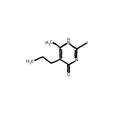 CCCc1c(C)[nH]c(I)nc1=O